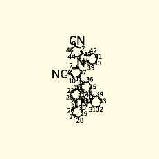 N#CC1=Cc2c(n(-c3cc(C#N)cc(-c4ccc(C5=C(n6c7ccccc7c7ccccc76)CCC=C5)cc4)c3)c3ccccc23)CC1